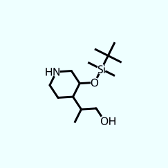 CC(CO)C1CCNCC1O[Si](C)(C)C(C)(C)C